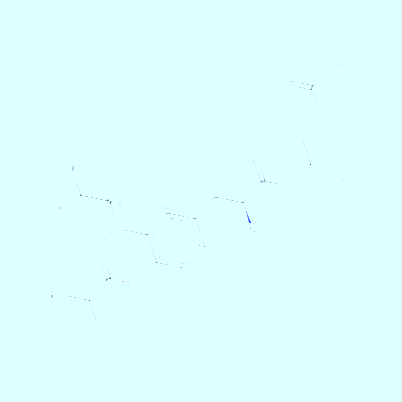 COC(=O)OC[C@H](C)OC(=O)[C@@H](N)Cc1ccc(OC(=O)C(C)C(C)C)c(OC(=O)C(C)C(C)C)c1